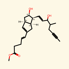 CC#CCC(C)C(O)C=C[C@H]1[C@H]2CC(C=CCCC(=O)OC)=C[C@H]2C[C@H]1O